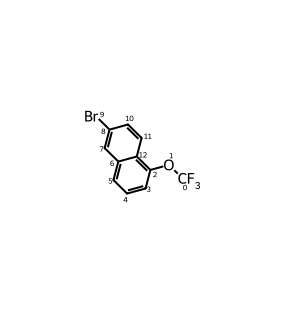 FC(F)(F)Oc1cccc2cc(Br)ccc12